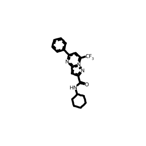 O=C(NC1CCCCC1)c1cc2nc(-c3ccccc3)cc(C(F)(F)F)n2n1